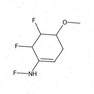 COC1CC=C(NF)C(F)C1F